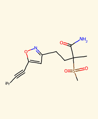 CC(C)C#Cc1cc(CCC(C)(C(N)=O)S(C)(=O)=O)no1